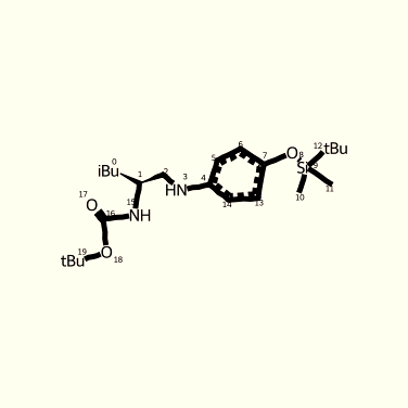 CC[C@H](C)[C@@H](CNc1ccc(O[Si](C)(C)C(C)(C)C)cc1)NC(=O)OC(C)(C)C